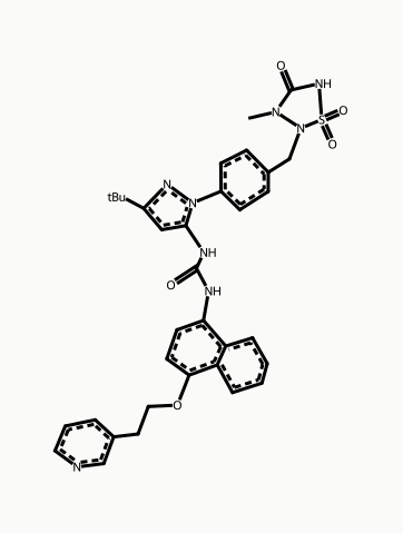 CN1C(=O)NS(=O)(=O)N1Cc1ccc(-n2nc(C(C)(C)C)cc2NC(=O)Nc2ccc(OCCc3cccnc3)c3ccccc23)cc1